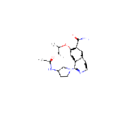 CC(=O)NC1CCN(c2nccc3cc(C(N)=O)c(OC(C)C)cc23)C1